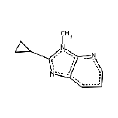 Cn1c(C2CC2)nc2cccnc21